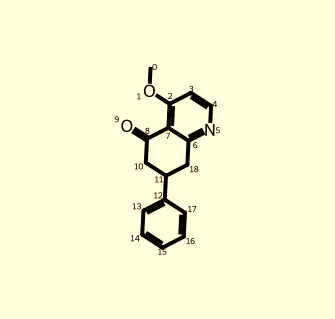 COc1ccnc2c1C(=O)CC(c1ccccc1)C2